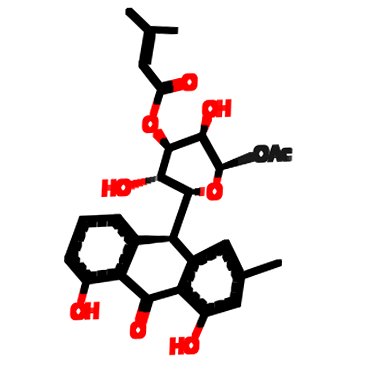 CC(=O)O[C@H]1O[C@H]([C@@H]2c3cccc(O)c3C(=O)c3c(O)cc(C)cc32)[C@H](O)[C@@H](OC(=O)C=C(C)C)[C@H]1O